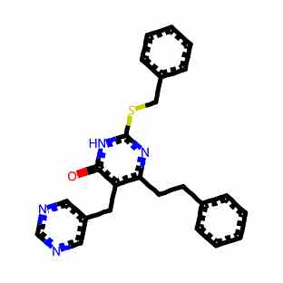 O=c1[nH]c(SCc2ccccc2)nc(CCc2ccccc2)c1Cc1cncnc1